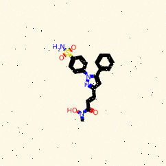 CN(O)C(=O)C=Cc1cc(-c2ccccc2)n(-c2ccc(S(N)(=O)=O)cc2)n1